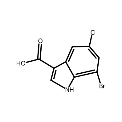 O=C(O)c1c[nH]c2c(Br)cc(Cl)cc12